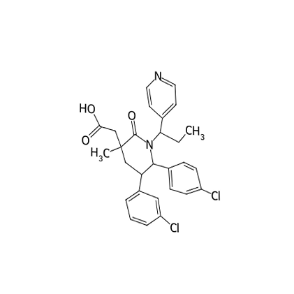 CCC(c1ccncc1)N1C(=O)C(C)(CC(=O)O)CC(c2cccc(Cl)c2)C1c1ccc(Cl)cc1